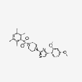 COc1ccc(-c2csc(N3CCN(S(=O)(=O)c4c(C)c(C)cc(C)c4C)CC3)n2)c(OC)c1